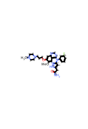 COc1cc2c(N(c3cccc(F)c3)c3cc(CC(N)=O)[nH]n3)ncnc2cc1OCCCN1CCN(C)CC1